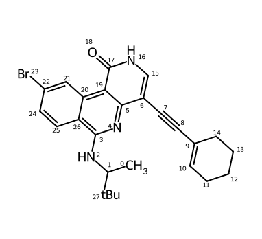 CC(Nc1nc2c(C#CC3=CCCCC3)c[nH]c(=O)c2c2cc(Br)ccc12)C(C)(C)C